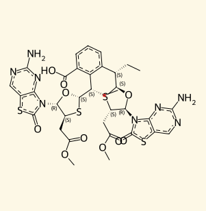 CC[C@@H](c1cccc(C(=O)O)c1[C@H](CC)[C@H]1O[C@@H](n2c(=O)sc3cnc(N)nc32)[C@H](CC(=O)OC)S1)[C@H]1O[C@@H](n2c(=O)sc3cnc(N)nc32)[C@H](CC(=O)OC)S1